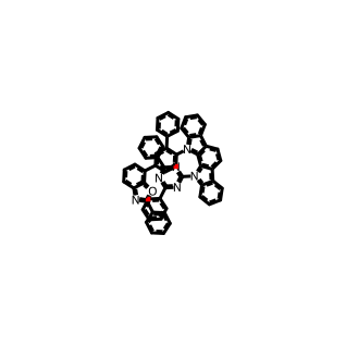 c1ccc(-c2nc(-c3ccccc3)nc(-n3c4ccccc4c4ccc5c6ccccc6n(-c6ccc(-c7cccc8nc(-c9ccccc9)oc78)cc6-c6ccccc6)c5c43)n2)cc1